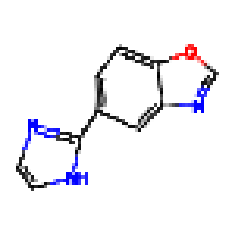 c1c[nH]c(-c2ccc3ocnc3c2)n1